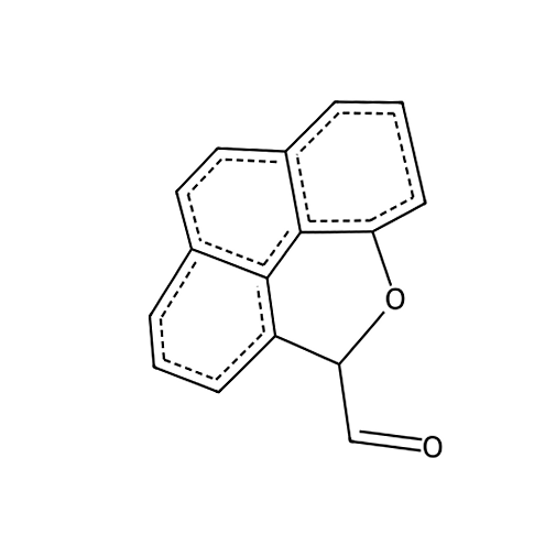 O=CC1Oc2cccc3ccc4cccc1c4c23